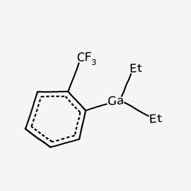 C[CH2][Ga]([CH2]C)[c]1ccccc1C(F)(F)F